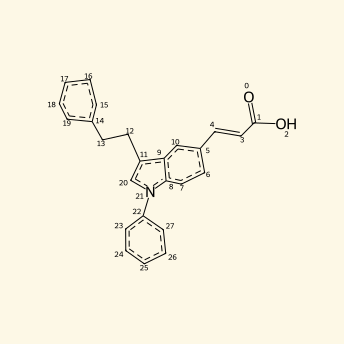 O=C(O)C=Cc1ccc2c(c1)c(CCc1ccccc1)cn2-c1ccccc1